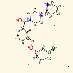 O=C(c1cccc(COc2cccc(Br)c2)c1)N1CCN(c2ccccn2)CC1